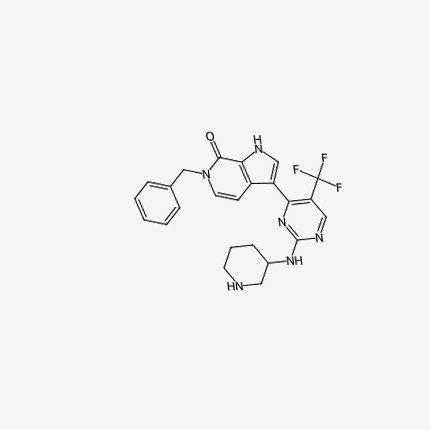 O=c1c2[nH]cc(-c3nc(NC4CCCNC4)ncc3C(F)(F)F)c2ccn1Cc1ccccc1